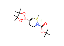 CC(C)(C)OC(=O)N1CCC(B2OC(C)(C)C(C)(C)O2)=CS1(C)F